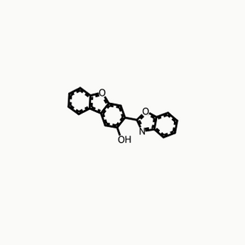 Oc1cc2c(cc1-c1nc3ccccc3o1)oc1ccccc12